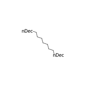 [CH2]CCCCCCCCCCCCCCCCCCCCCCCCC[CH2]